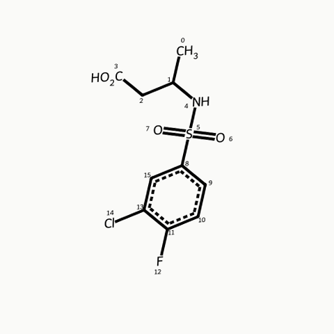 CC(CC(=O)O)NS(=O)(=O)c1ccc(F)c(Cl)c1